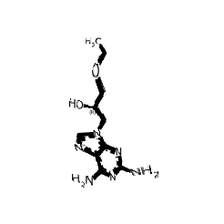 CCOC[C@H](O)Cn1cnc2c(N)nc(N)nc21